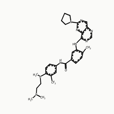 Cc1ccc(C(=O)Nc2ccc(N(C)CCN(C)C)c(C(F)(F)F)c2)cc1Nc1ncnc2cnc(N3CCCC3)nc12